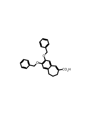 O=C(O)C1=Cc2cc(OCc3ccccc3)c(OCc3ccccc3)cc2CCC1